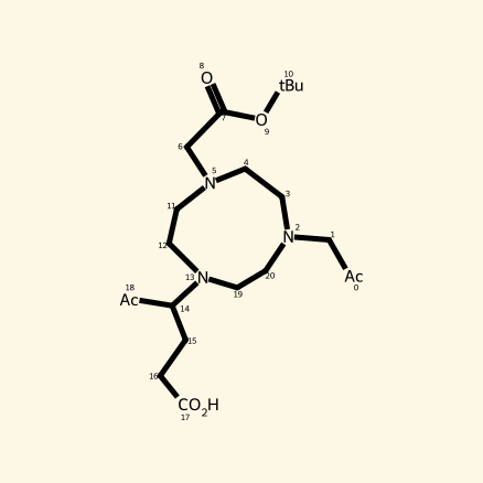 CC(=O)CN1CCN(CC(=O)OC(C)(C)C)CCN(C(CCC(=O)O)C(C)=O)CC1